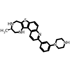 C[C@@H]1CNc2c(sc3ccc4nc(-c5cccc(N6CCNCC6)c5)ccc4c23)CN1